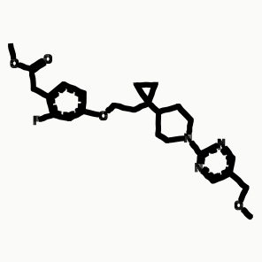 COCc1cnc(N2CCC(C3(CCOc4ccc(CC(=O)OC)c(F)c4)CC3)CC2)nc1